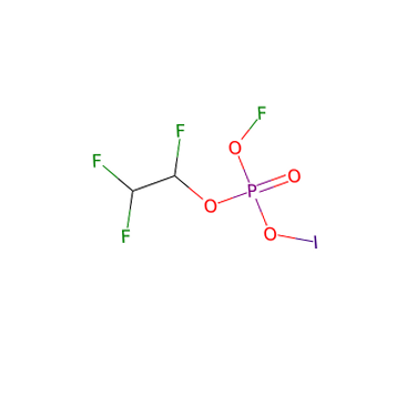 O=P(OF)(OI)OC(F)C(F)F